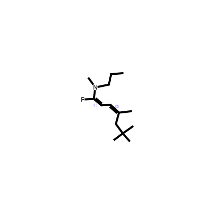 CCCN(C)/C(F)=C\C=C(\C)CC(C)(C)C